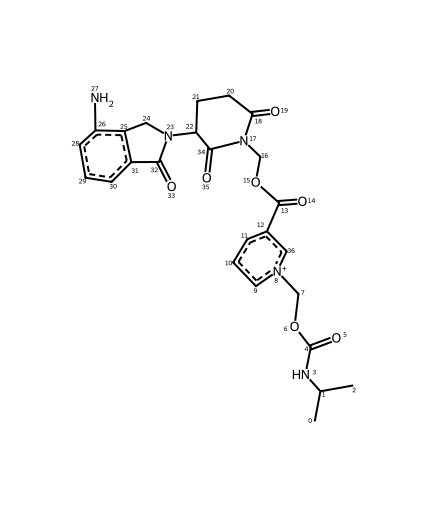 CC(C)NC(=O)OC[n+]1cccc(C(=O)OCN2C(=O)CCC(N3Cc4c(N)cccc4C3=O)C2=O)c1